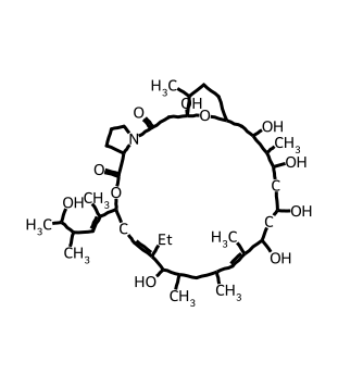 CC/C1=C\CC(/C(C)=C/C(C)C(C)O)OC(=O)C2CCCN2C(=O)CC2(O)OC(CCC2C)CC(O)C(C)C(O)CC(O)CC(O)/C(C)=C/C(C)CC(C)C1O